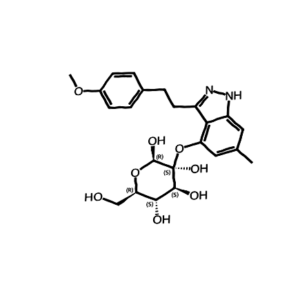 COc1ccc(CCc2n[nH]c3cc(C)cc(O[C@]4(O)[C@H](O)O[C@H](CO)[C@@H](O)[C@@H]4O)c23)cc1